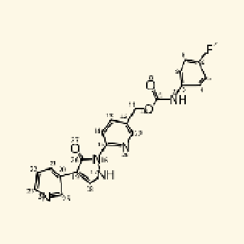 O=C(Nc1ccc(F)cc1)OCc1ccc(-n2[nH]cc(-c3cccnc3)c2=O)nc1